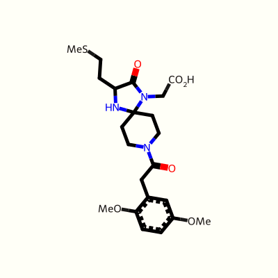 COc1ccc(OC)c(CC(=O)N2CCC3(CC2)NC(CCSC)C(=O)N3CC(=O)O)c1